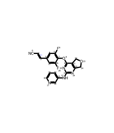 N#C/C=C/c1cc(F)c(Oc2nc(Nc3cccnc3)nc3c2COC3)c(F)c1